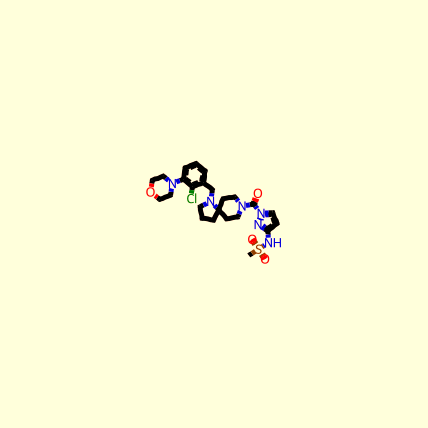 CS(=O)(=O)Nc1ccn(C(=O)N2CCC3(CCCN3Cc3cccc(N4CCOCC4)c3Cl)CC2)n1